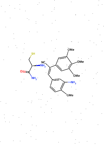 COc1ccc(/C=C(/C#N)c2cc(OC)c(OC)c(OC)c2)cc1N.NC(=O)[C@H](N)CS